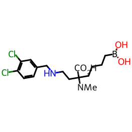 CNC(CCCCB(O)O)(CCNCc1ccc(Cl)c(Cl)c1)C(=O)O